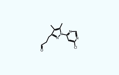 Cc1c(CCC=O)nn(-c2cc(Cl)ncn2)c1C